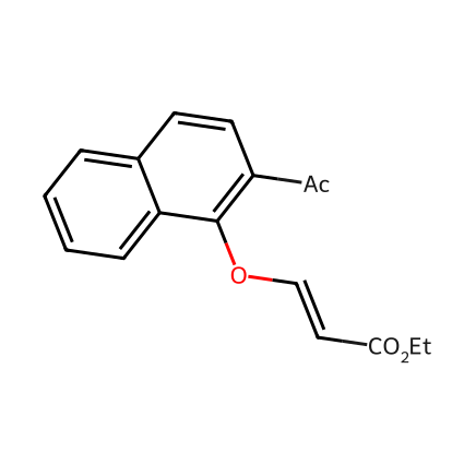 CCOC(=O)C=COc1c(C(C)=O)ccc2ccccc12